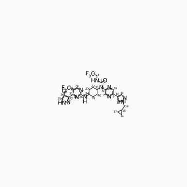 O=C(NCC(F)(F)F)N(c1cnc(-c2cnn(CC3CC3)c2)cn1)C1CCC(Nc2ncc(C(F)(F)F)c(-c3n[nH]cc3Cl)n2)CC1